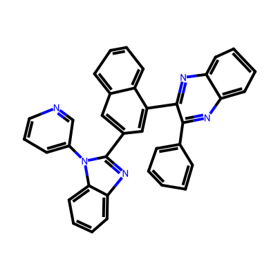 c1ccc(-c2nc3ccccc3nc2-c2cc(-c3nc4ccccc4n3-c3cccnc3)cc3ccccc23)cc1